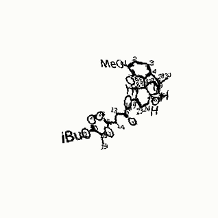 COc1ccc2c3c1O[C@H]1C(OC(=O)CCC(=O)O[C@@H](C)C(=O)OCC(C)C)=CC[C@@]4(O)[C@@H](C2)N(C)CC[C@]314